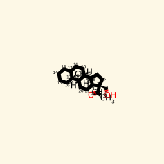 CC(=O)[C@@]1(CO)CC[C@H]2[C@@H]3CCC4CCCC[C@]4(C)[C@H]3CC[C@@]21C